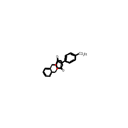 CCOC(=O)c1ccc(N2C(=O)C3=C(C2=O)C2c4ccccc4C3c3ccccc32)cc1